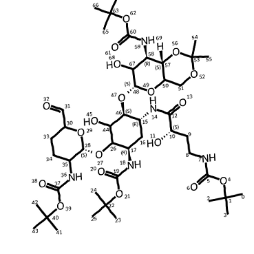 CC(C)(C)OC(=O)NCC[C@H](O)C(=O)N[C@@H]1C[C@@H](NC(=O)OC(C)(C)C)C(O[C@H]2OC(C=O)CCC2NC(=O)OC(C)(C)C)C(O)[C@H]1O[C@H]1OC2COC(C)(C)O[C@H]2[C@H](NC(=O)OC(C)(C)C)C1O